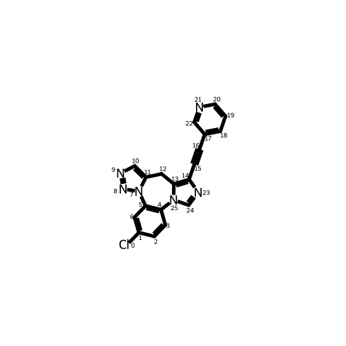 Clc1ccc2c(c1)-n1nncc1Cc1c(C#Cc3cccnc3)ncn1-2